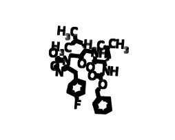 CC(C)C[C@H](NC(=O)[C@H](CC(C)C)NC(=O)OCc1ccccc1)C(=O)Cn1c(Cc2ccc(F)cc2)noc1=O